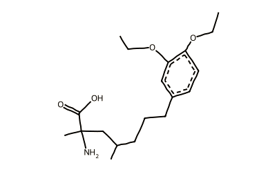 CCOc1ccc(CCCC(C)CC(C)(N)C(=O)O)cc1OCC